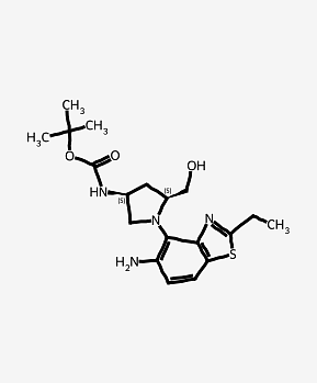 CCc1nc2c(N3C[C@@H](NC(=O)OC(C)(C)C)C[C@H]3CO)c(N)ccc2s1